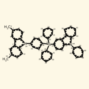 Cc1ccc2c(c1)c1cc(C)ccc1n2-c1ccc([Si](c2ccccc2)(c2ccccc2)c2ccc3c(c2)c2ccccc2n3-c2ccccc2)cc1